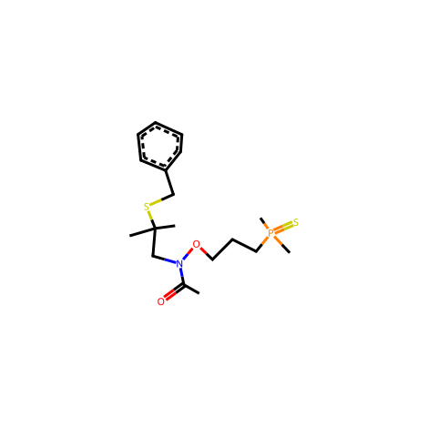 CC(=O)N(CC(C)(C)SCc1ccccc1)OCCCP(C)(C)=S